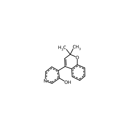 CC1(C)C=C(c2ccncc2O)c2ccccc2O1